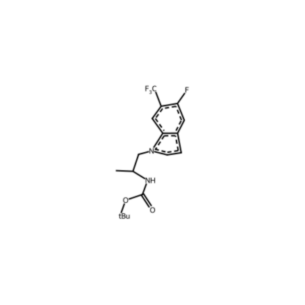 CC(Cn1ccc2cc(F)c(C(F)(F)F)cc21)NC(=O)OC(C)(C)C